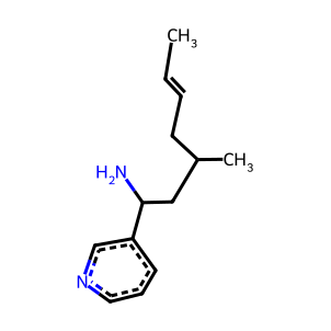 CC=CCC(C)CC(N)c1cccnc1